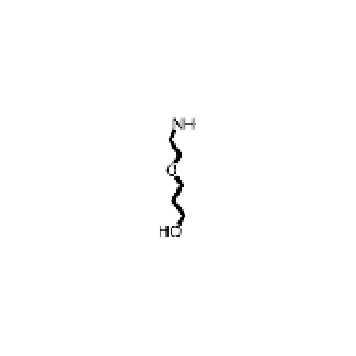 [NH]CCOCCCO